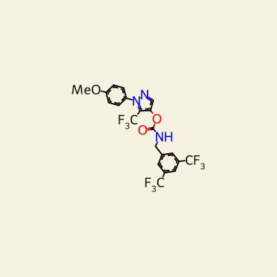 COc1ccc(-n2ncc(OC(=O)NCc3cc(C(F)(F)F)cc(C(F)(F)F)c3)c2C(F)(F)F)cc1